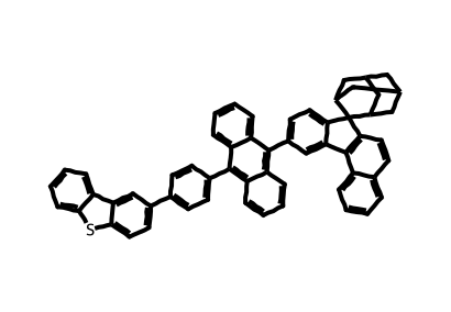 c1ccc2c3c(ccc2c1)C1(c2ccc(-c4c5ccccc5c(-c5ccc(-c6ccc7sc8ccccc8c7c6)cc5)c5ccccc45)cc2-3)C2CC3CC(C2)CC1C3